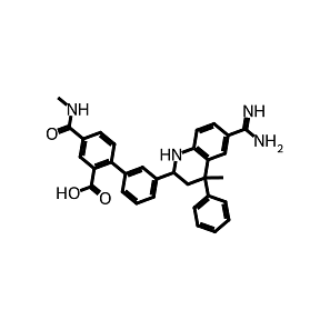 CNC(=O)c1ccc(-c2cccc(C3CC(C)(c4ccccc4)c4cc(C(=N)N)ccc4N3)c2)c(C(=O)O)c1